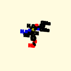 COc1ccc(OC)c(-c2nc(CSc3nc(N)c(C#N)c(-c4ccc(OCCO)cc4)c3C#N)c(C)o2)c1